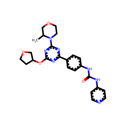 CC1COCCN1c1nc(OC2CCOC2)nc(-c2ccc(NC(=O)Nc3ccncc3)cc2)n1